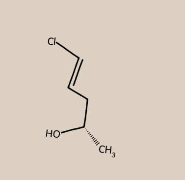 C[C@H](O)CC=CCl